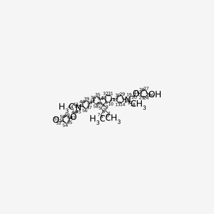 CCCCC1(CCCC)c2cc(-c3ccc(N(CC)CCOc4ccc(O)cc4)cc3)ccc2-c2ccc(-c3ccc(N(CC)CCOc4ccc(C=O)cc4)cc3)cc21